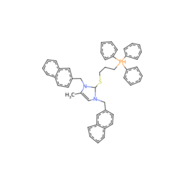 CC1=CN(Cc2ccc3ccccc3c2)C(SCCC[PH](c2ccccc2)(c2ccccc2)c2ccccc2)N1Cc1ccc2ccccc2c1